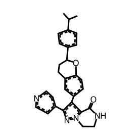 CC(C)c1ccc(C2CCc3cc(-c4c(-c5ccncc5)nn5c4C(=O)NCC5)ccc3O2)cc1